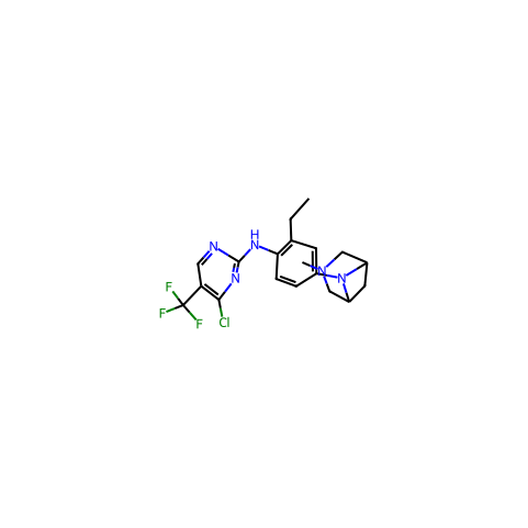 CCc1cc(N2C3CC2CN(C)C3)ccc1Nc1ncc(C(F)(F)F)c(Cl)n1